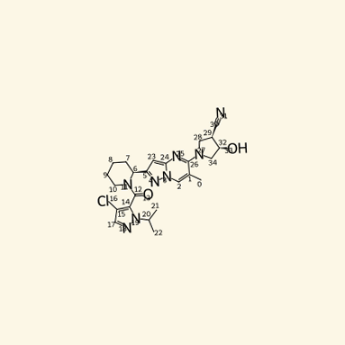 Cc1cn2nc([C@@H]3CCCCN3C(=O)c3c(Cl)cnn3C(C)C)cc2nc1N1C[C@@H](C#N)[C@@H](O)C1